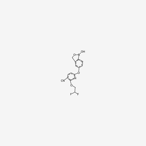 [C-]#[N+]c1ccc(Oc2ccc3c(c2)COB3O)nc1OCC(F)F